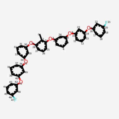 Cc1c(Oc2cccc(Oc3cccc(Oc4cccc(F)c4)c3)c2)cccc1Oc1cccc(Oc2cccc(Oc3cccc(F)c3)c2)c1